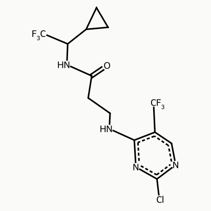 O=C(CCNc1nc(Cl)ncc1C(F)(F)F)NC(C1CC1)C(F)(F)F